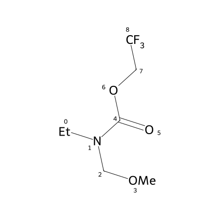 CCN(COC)C(=O)OCC(F)(F)F